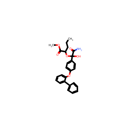 CCCC(OC(O)(C(N)=O)c1ccc(Oc2ccccc2-c2ccccc2)cc1)C(=O)OC